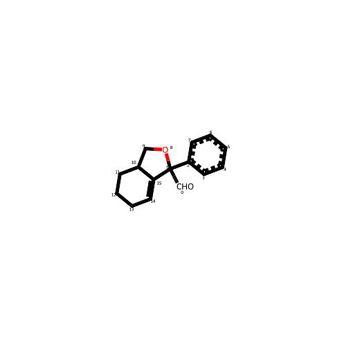 O=CC1(c2ccccc2)OCC2CCCC=C21